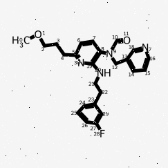 COCCCc1ccc(N(C=O)Cc2cccnc2)c(NCCc2cccc(F)c2)n1